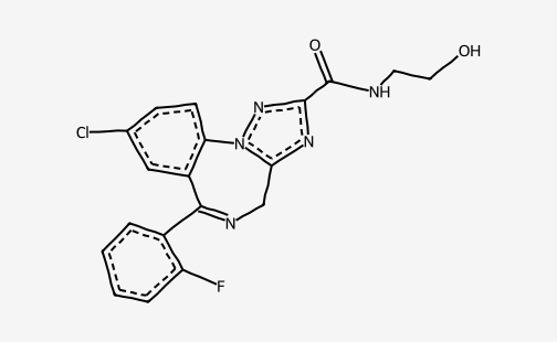 O=C(NCCO)c1nc2n(n1)-c1ccc(Cl)cc1C(c1ccccc1F)=NC2